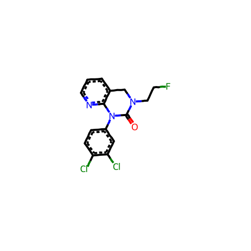 O=C1N(CCF)Cc2cccnc2N1c1ccc(Cl)c(Cl)c1